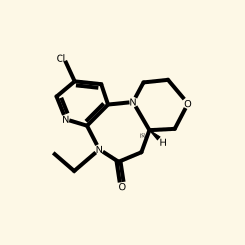 CCN1C(=O)C[C@H]2COCCN2c2cc(Cl)cnc21